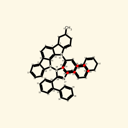 CC1CC=C2C(C1)c1ccc3c4ccccc4n(-n4nc(-c5ccccc5)nc4-c4ccccc4-c4ccccc4)c3c1N2c1cccc(C2=CCCC=C2)c1